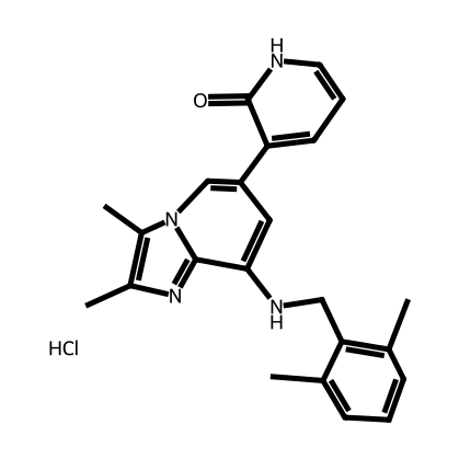 Cc1cccc(C)c1CNc1cc(-c2ccc[nH]c2=O)cn2c(C)c(C)nc12.Cl